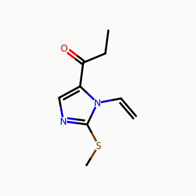 C=Cn1c(C(=O)CC)cnc1SC